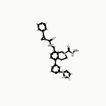 CC(C)(C)NC(=O)N1CCc2c(-c3cccc(-n4ccnn4)c3)ccc(CNC(=O)C3CC3c3ccccc3)c2C1